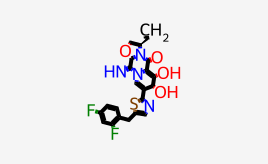 C=C[C@@H]1COC2C(=N)N3C=C(c4ncc(Cc5ccc(F)cc5F)s4)C(O)C(O)=C3C(=O)N21